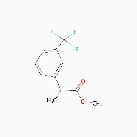 COC(=O)C(C)c1cccc(C(F)(F)F)c1